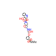 CNS(=O)(=O)c1cccc(OC[C@@H](O)CN[C@H]2COC3(CCN(S(=O)(=O)c4cnc5ccccc5c4O)CC3)C2)c1